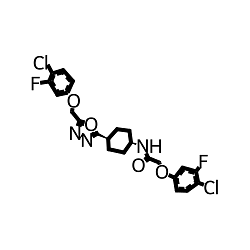 O=C(COc1ccc(Cl)c(F)c1)N[C@H]1CC[C@H](c2nnc(COc3ccc(Cl)c(F)c3)o2)CC1